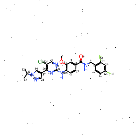 COc1cc(C(=O)NCc2ccc(F)cc2F)ccc1Nc1ncc(Cl)c(-c2cnn(C(C)C)c2)n1